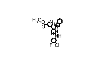 CCOC(=O)c1cncc(-c2cnc(Nc3ccc(F)c(Cl)c3)nc2-n2cc3ccccc3n2)c1